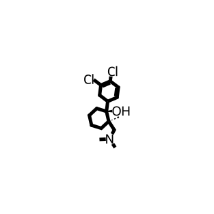 CN(C)C[C@@]1(C)CCCC[C@]1(O)C1C=CC(Cl)=C(Cl)C1